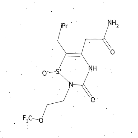 CC(C)CC1=C(CC(N)=O)NC(=O)N(CCOC(F)(F)F)[S+]1[O-]